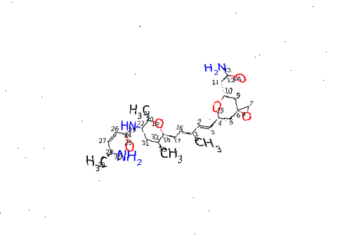 CC(/C=C/[C@@H]1C[C@]2(CO2)C[C@@H](CC(N)=O)O1)=C\C[C@@H]1O[C@H](C)[C@H](NC(=O)/C=C\[C@H](C)N)C[C@@H]1C